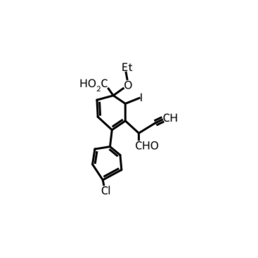 C#CC(C=O)C1=C(c2ccc(Cl)cc2)C=CC(OCC)(C(=O)O)C1I